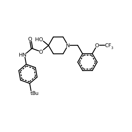 CC(C)(C)c1ccc(NC(=O)OC2(O)CCN(Cc3ccccc3OC(F)(F)F)CC2)cc1